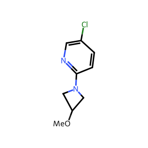 COC1CN(c2ccc(Cl)cn2)C1